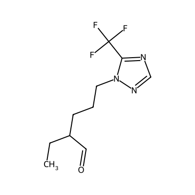 CCC(C=O)CCCn1ncnc1C(F)(F)F